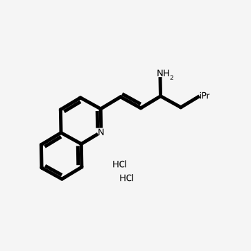 CC(C)CC(N)C=Cc1ccc2ccccc2n1.Cl.Cl